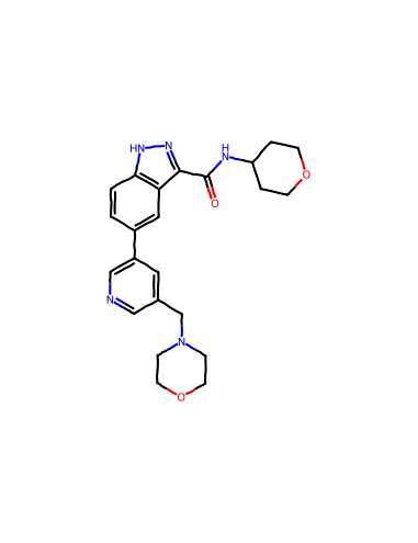 O=C(NC1CCOCC1)c1n[nH]c2ccc(-c3cncc(CN4CCOCC4)c3)cc12